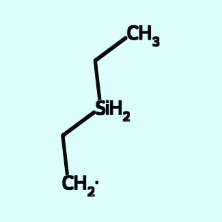 [CH2]C[SiH2]CC